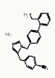 Cl.N#Cc1ccc(Cc2cncn2Cc2ccc(-c3ccccc3CN)cc2)cc1